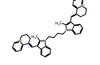 Cc1c(/C=C2\CCC[n+]3ccccc32)c2ccccc2n1CCCCn1c(C)c(/C=C2\CCC[n+]3ccccc32)c2ccccc21